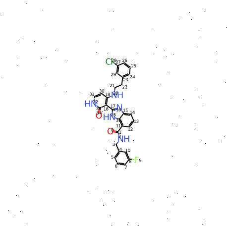 O=C(NCc1cccc(F)c1)c1cccc2nc(-c3c(NCCc4cccc(Cl)c4)cc[nH]c3=O)[nH]c12